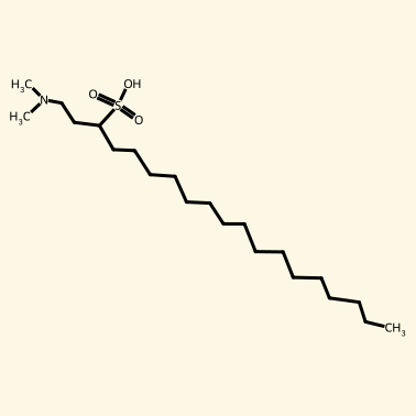 CCCCCCCCCCCCCCCCC(CCN(C)C)S(=O)(=O)O